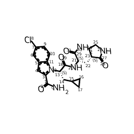 NC(=O)c1cc2cc(Cl)ccc2n1[C@@H](CC1CC1)C(=O)N[C@@H](C[C@@H]1CCNC1=O)C(N)=O